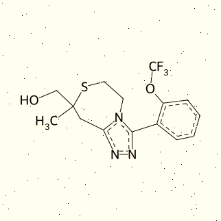 CC1(CO)Cc2nnc(-c3ccccc3OC(F)(F)F)n2CCS1